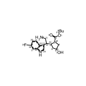 CC(C)(C)OC(=O)N1C[C@H](O)C[C@H]1C(CN)c1c[nH]c2cc(F)ccc12